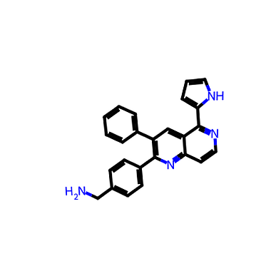 NCc1ccc(-c2nc3ccnc(-c4ccc[nH]4)c3cc2-c2ccccc2)cc1